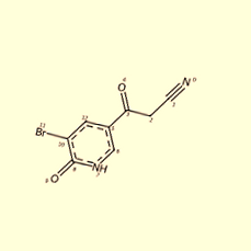 N#CCC(=O)c1c[nH]c(=O)c(Br)c1